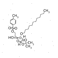 CCCCCCCCCCCCO[C@@H]1[C@H]2OC(C)(C)O[C@H]2O[C@@H]1[C@H](O)COS(=O)(=O)c1ccc(C)cc1